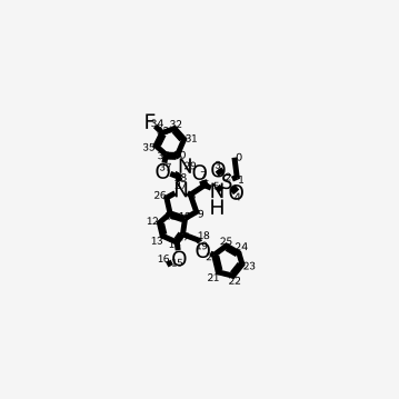 CCS(=O)(=O)NC(=O)C1Cc2c(ccc(OC)c2COc2ccccc2)CN1c1nc2ccc(F)cc2o1